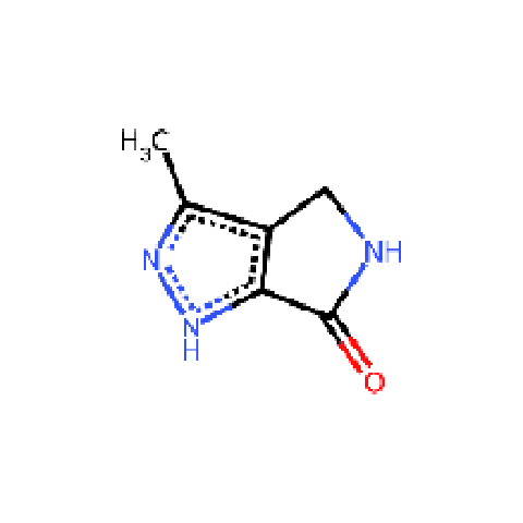 Cc1n[nH]c2c1CNC2=O